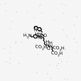 NCC1CCC(C(=O)N[C@H](Cc2ccc3cccnc3c2)C(=O)NCCCC[C@H](NC(=O)N[C@@H](CCC(=O)O)C(=O)O)C(=O)O)CC1